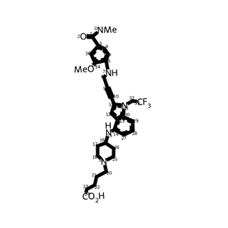 CNC(=O)c1ccc(NCC#Cc2cc3c(NC4CCN(CCCCC(=O)O)CC4)cccc3n2CC(F)(F)F)c(OC)c1